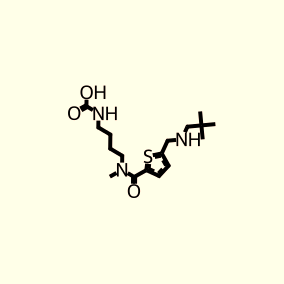 CN(CCCCNC(=O)O)C(=O)c1ccc(CNCC(C)(C)C)s1